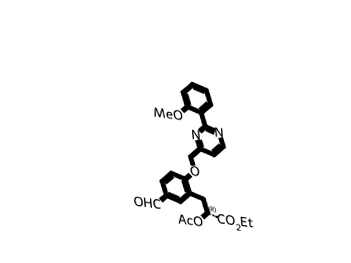 CCOC(=O)[C@@H](Cc1cc(C=O)ccc1OCc1ccnc(-c2ccccc2OC)n1)OC(C)=O